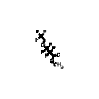 COC(=O)C(F)(F)C(F)(F)OCC(F)(F)F